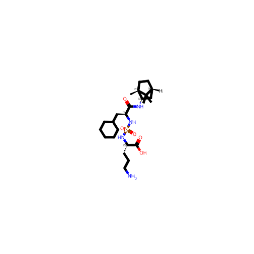 CC1(C)[C@@H]2CC[C@@]1(C)[C@@H](NC(=O)[C@H](CC1CCCCC1)NS(=O)(=O)N[C@@H](CCCN)C(=O)O)C2